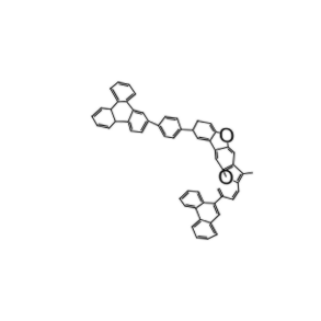 C=C(/C=C\c1oc2cc3c4c(oc3cc2c1C)=CCC(c1ccc(-c2ccc3c(c2)-c2ccccc2C2C=CC=CC32)cc1)C=4)c1cc2ccccc2c2ccccc12